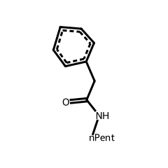 [CH2]CCCCNC(=O)Cc1ccccc1